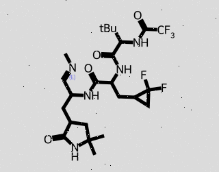 C/N=C/C(CC1CC(C)(C)NC1=O)NC(=O)C(CC1CC1(F)F)NC(=O)C(NC(=O)C(F)(F)F)C(C)(C)C